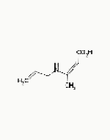 C=CCNC(C)=CC(=O)O